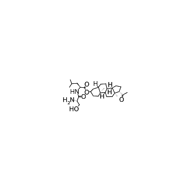 CC(=O)[C@H]1CC[C@H]2[C@@H]3CC[C@H]4C[C@H](OC(=O)[C@H](CC(C)C)NC(=O)[C@@H](N)CO)CC[C@]4(C)[C@H]3CC[C@]12C